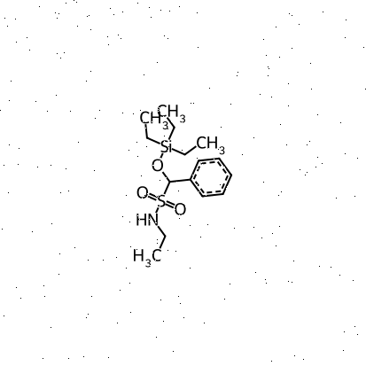 CCNS(=O)(=O)C(O[Si](CC)(CC)CC)c1ccccc1